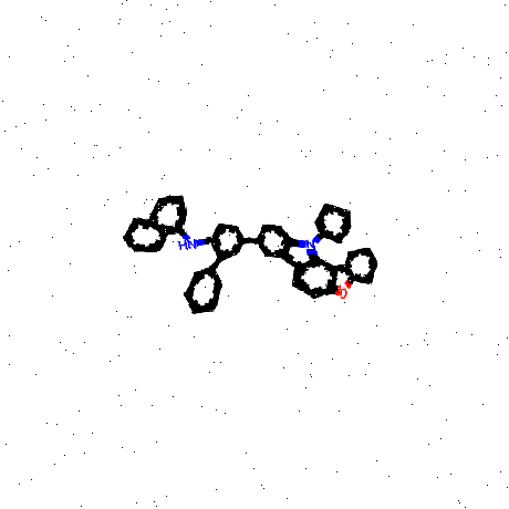 c1ccc(-c2cc(-c3ccc4c(c3)c3ccc5oc6ccccc6c5c3n4-c3ccccc3)ccc2Nc2cccc3ccccc23)cc1